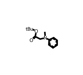 CN(CC(=O)OC(C)(C)C)c1ccccc1